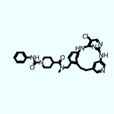 CN(Cc1ccc2cc1CCc1cncc(c1)Nc1ncc(Cl)c(n1)N2)C(=O)C1CCN(C(=O)Nc2ccccc2)CC1